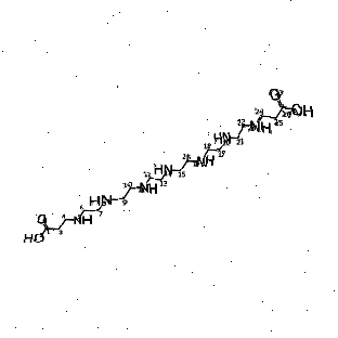 O=C(O)CCNCCNCCNCCNCCNCCNCCNCCC(=O)O